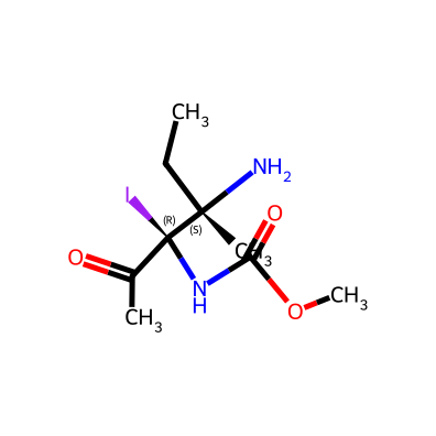 CC[C@](C)(N)[C@](I)(NC(=O)OC)C(C)=O